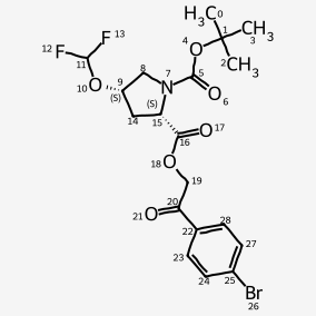 CC(C)(C)OC(=O)N1C[C@@H](OC(F)F)C[C@H]1C(=O)OCC(=O)c1ccc(Br)cc1